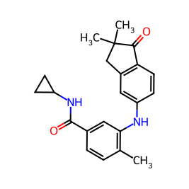 Cc1ccc(C(=O)NC2CC2)cc1Nc1ccc2c(c1)CC(C)(C)C2=O